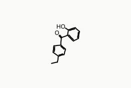 CCc1ccc(C(=O)c2ccccc2O)cc1